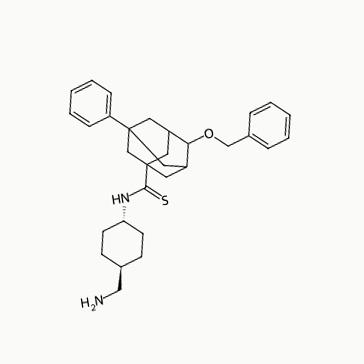 NC[C@H]1CC[C@H](NC(=S)C23CC4CC(c5ccccc5)(CC(C2)C4OCc2ccccc2)C3)CC1